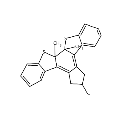 CC12Sc3ccccc3C1=C1CC(F)CC1=C1c3ccccc3SC12C